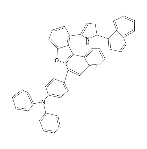 C1=C(c2cccc3oc4c(-c5ccc(N(c6ccccc6)c6ccccc6)cc5)cc5ccccc5c4c23)NC(c2cccc3ccccc23)C1